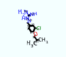 CC(C)COc1ccc(/C=N/NC(=N)N)cc1Cl